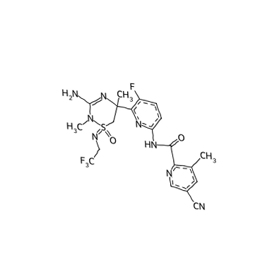 Cc1cc(C#N)cnc1C(=O)Nc1ccc(F)c(C2(C)CS(=O)(=NCC(F)(F)F)N(C)C(N)=N2)n1